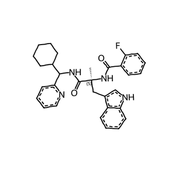 C[C@@](Cc1c[nH]c2ccccc12)(NC(=O)c1ccccc1F)C(=O)NC(c1ccccn1)C1CCCCC1